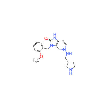 O=c1[nH]c2c(n1Cc1ccccc1OC(F)(F)F)CN(NCC1CCNC1)C=C2